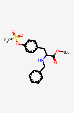 CC(C)(C)OC(=O)C(Cc1ccc(OS(=O)(=O)C(F)(F)F)cc1)NCc1ccccc1